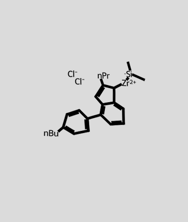 CCCCc1ccc(-c2cccc3c2C=C(CCC)[CH]3[Zr+2][Si](C)C)cc1.[Cl-].[Cl-]